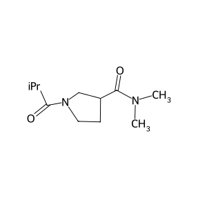 CC(C)C(=O)N1CCC(C(=O)N(C)C)C1